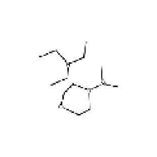 CCN(CC)CC.CN(C)N1CCOCC1